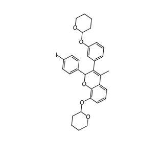 CC1=C(c2cccc(OC3CCCCO3)c2)C(c2ccc(I)cc2)Oc2c(OC3CCCCO3)cccc21